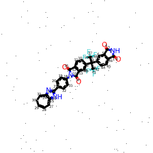 O=C1NC(=O)c2cc(C(c3ccc4c(c3)C(=O)N(c3ccc(-c5nc6c([nH]5)=CC=CCC=6)cc3)C4=O)(C(F)(F)F)C(F)(F)F)ccc21